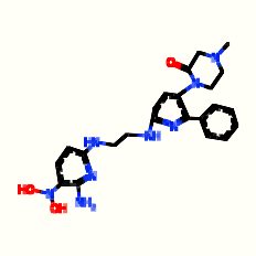 CN1CCN(c2ccc(NCCNc3ccc(N(O)O)c(N)n3)nc2-c2ccccc2)C(=O)C1